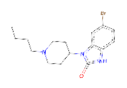 CCCCN1CCC(n2c(=O)[nH]c3ccc(Br)cc32)CC1